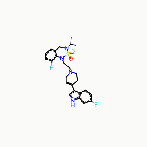 CC(C)N1Cc2cccc(F)c2N(CCN2CC=C(c3c[nH]c4cc(F)ccc34)CC2)S1(=O)=O